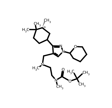 C[C@@H]1CC(c2nn(C3CCCCO3)cc2CN(C)CCN(C)C(=O)OC(C)(C)C)CCC1(C)C